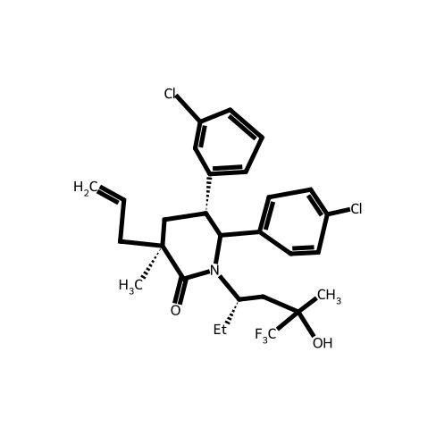 C=CC[C@@]1(C)C[C@H](c2cccc(Cl)c2)C(c2ccc(Cl)cc2)N([C@@H](CC)CC(C)(O)C(F)(F)F)C1=O